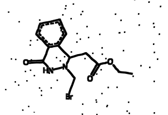 CCOC(=O)CC1c2ccccc2C(=O)NN1CBr